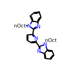 CCCCCCCCn1c(-c2cccc(-c3nc4ccccc4n3CCCCCCCC)n2)nc2ccccc21